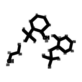 CC(C)(C)C1CCCCC1O.CC1CCCCC1CC(C)(C)C.CCCO